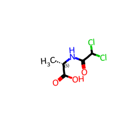 C[C@H](NC(=O)C(Cl)Cl)C(=O)O